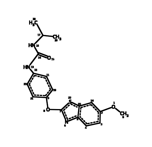 COc1ccc2nc(Oc3ccc(NC(=O)NC(C)C)cc3)sc2c1